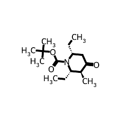 CC[C@@H]1CC(=O)[C@@H](C)[C@H](CC)N1C(=O)OC(C)(C)C